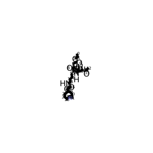 CCOC(=O)CNC(=O)[C@H](CCCCNC(=O)OC1CC/C=C/CCC1)NC(=O)CNC(C)=O